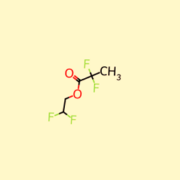 CC(F)(F)C(=O)OCC(F)F